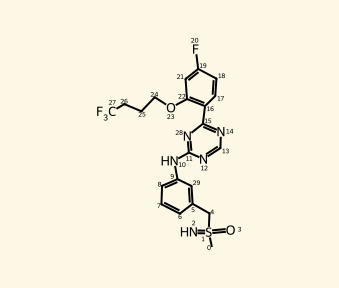 CS(=N)(=O)Cc1cccc(Nc2ncnc(-c3ccc(F)cc3OCCCC(F)(F)F)n2)c1